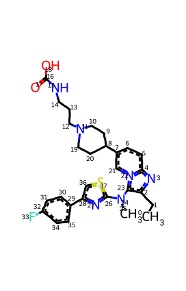 CCc1nc2ccc(C3CCN(CCCNC(=O)O)CC3)cn2c1N(C)c1nc(-c2ccc(F)cc2)cs1